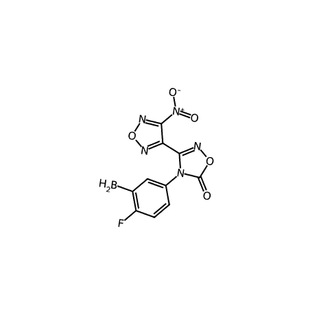 Bc1cc(-n2c(-c3nonc3[N+](=O)[O-])noc2=O)ccc1F